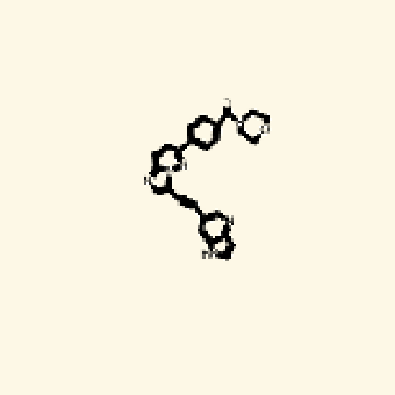 O=C(c1ccc(-c2ccc3ncc(C#Cc4cnc5cc[nH]c5c4)n3n2)cc1)N1CCOCC1